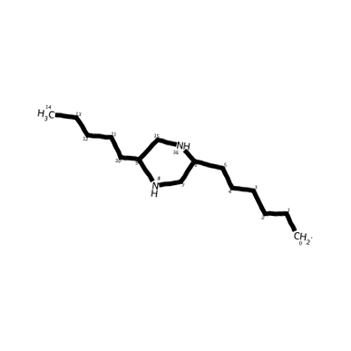 [CH2]CCCCCC1CNC(CCCCC)CN1